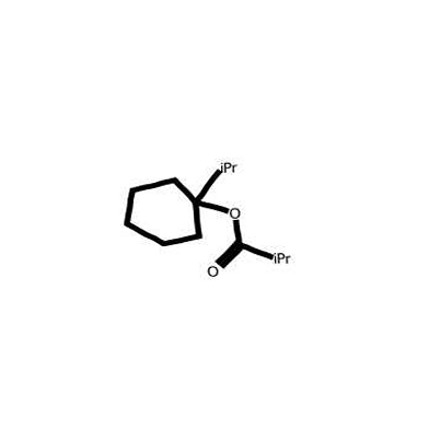 CC(C)C(=O)OC1(C(C)C)CCCCC1